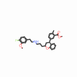 COC(=O)c1cc(C2CC(CCCNCCc3ccc(F)c(OC)c3)Oc3ccccc32)ccc1C